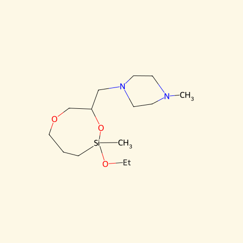 CCO[Si]1(C)CCCOCC(CN2CCN(C)CC2)O1